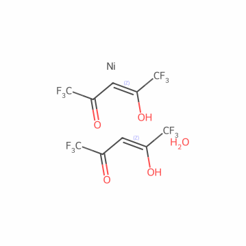 O.O=C(/C=C(\O)C(F)(F)F)C(F)(F)F.O=C(/C=C(\O)C(F)(F)F)C(F)(F)F.[Ni]